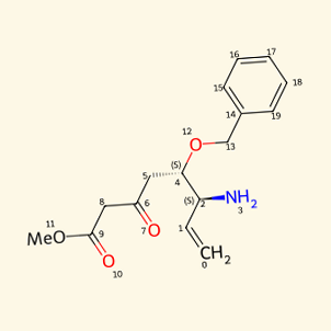 C=C[C@H](N)[C@H](CC(=O)CC(=O)OC)OCc1ccccc1